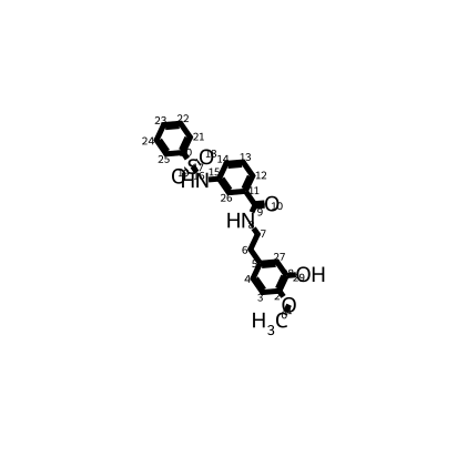 COc1ccc(CCNC(=O)c2cccc(NS(=O)(=O)c3ccccc3)c2)cc1O